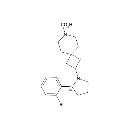 O=C(O)N1CCC2(CC1)CC(N1CCC[C@H]1c1ccccc1Br)C2